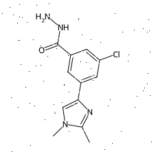 Cc1nc(-c2cc(Cl)cc(C(=O)NN)c2)cn1C